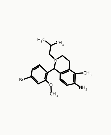 COc1cc(Br)ccc1C1c2ccc(N)c(C)c2CCN1CC(C)C